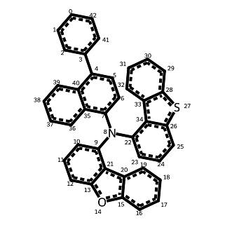 c1ccc(-c2ccc(N(c3cccc4oc5ccccc5c34)c3cccc4sc5ccccc5c34)c3ccccc23)cc1